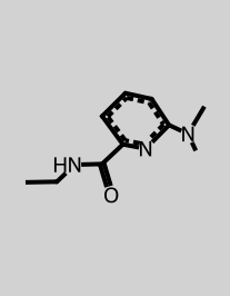 CCNC(=O)c1cccc(N(C)C)n1